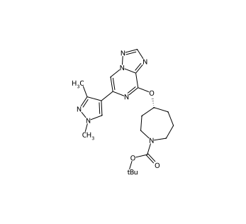 Cc1nn(C)cc1-c1cn2ncnc2c(O[C@@H]2CCCN(C(=O)OC(C)(C)C)CC2)n1